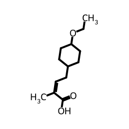 CCOC1CCC(CC=C(C)C(=O)O)CC1